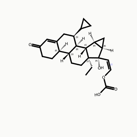 CC[C@]12CC[C@H]3[C@H]([C@@H]1[C@H]1C[C@H]1[C@@]2(O)/C=C\OC(=O)O)[C@H](C1CC1)CC1=CC(=O)CC[C@@H]13